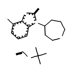 CC(C)(C)OC=O.O=c1[nH]c2c(Br)cccc2n1C1CCCNCC1